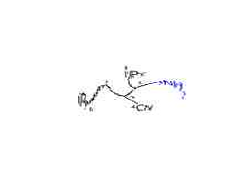 CCCC(N)C(C#N)CC(C)C